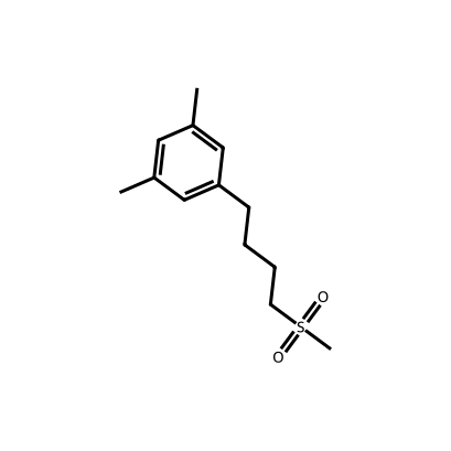 Cc1cc(C)cc(CCCCS(C)(=O)=O)c1